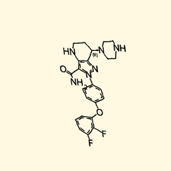 NC(=O)c1c2c(nn1-c1ccc(Oc3cccc(F)c3F)cc1)[C@H](N1CCNCC1)CCN2